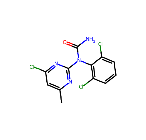 Cc1cc(Cl)nc(N(C(N)=O)c2c(Cl)cccc2Cl)n1